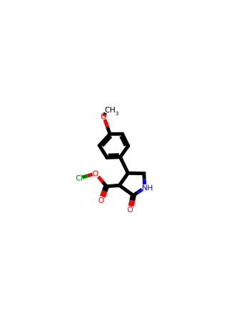 COc1ccc(C2CNC(=O)C2C(=O)OCl)cc1